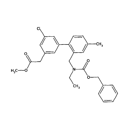 CCN(Cc1cc(C)ccc1-c1cc(Cl)cc(CC(=O)OC)c1)C(=O)OCc1ccccc1